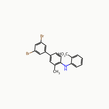 Cc1cc(-c2cc(Br)cc(Br)c2)ccc1Nc1ccccc1C(=O)O